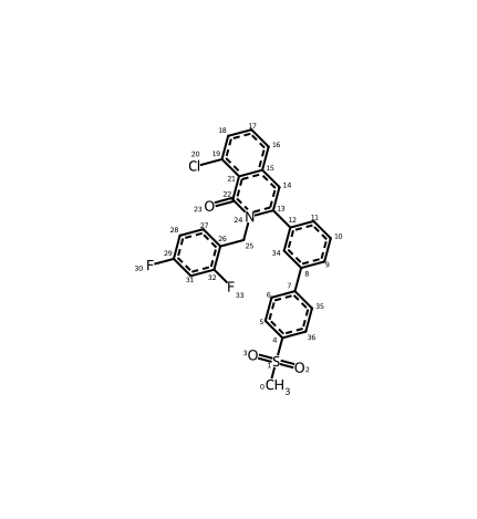 CS(=O)(=O)c1ccc(-c2cccc(-c3cc4cccc(Cl)c4c(=O)n3Cc3ccc(F)cc3F)c2)cc1